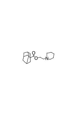 O=C(OCCN1CCCCC1)C12CC3CC(CC(C3)C1)C2